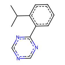 CC(C)c1ccccc1-c1ncncn1